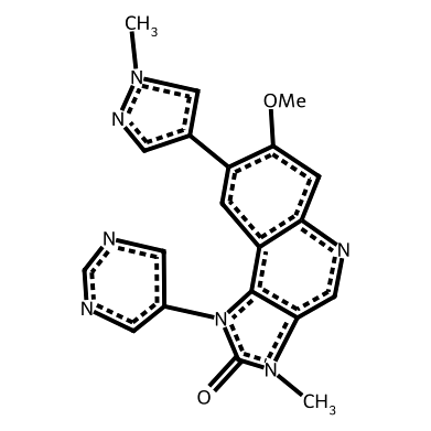 COc1cc2ncc3c(c2cc1-c1cnn(C)c1)n(-c1cncnc1)c(=O)n3C